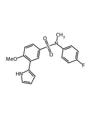 COc1ccc(S(=O)(=O)N(C)c2ccc(F)cc2)cc1-c1ccc[nH]1